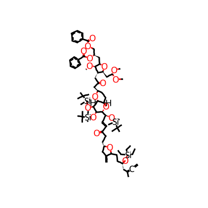 C=C=C(C)C[C@H](CCC1O[C@@H](CCC(=O)/C=C/[C@H](O[Si](C)(C)C(C)(C)C)[C@@H]2O[C@H]3CC[C@H](CC(=O)C[C@H]4[C@H](CC(OC)OC)OC(C[C@H](COC(=O)c5ccccc5)OC(=O)c5ccccc5)[C@@H]4OC)O[C@@H]3C(O[Si](C)(C)C(C)(C)C)C2O[Si](C)(C)C(C)(C)C)CC1=C)O[Si](CC)(CC)CC